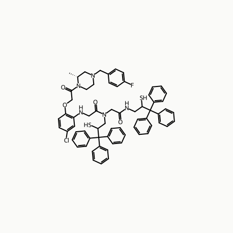 C[C@@H]1CN(Cc2ccc(F)cc2)CCN1C(=O)COc1ccc(Cl)cc1NCC(=O)N(CC(=O)NCC(S)C(c1ccccc1)(c1ccccc1)c1ccccc1)CC(S)C(c1ccccc1)(c1ccccc1)c1ccccc1